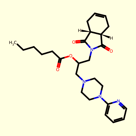 CCCCCC(=O)OC(CN1CCN(c2ccccn2)CC1)CN1C(=O)[C@H]2CC=CC[C@H]2C1=O